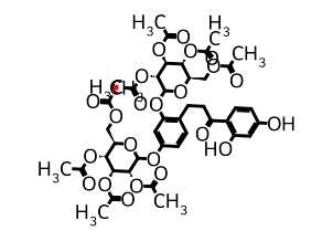 CC(=O)OC[C@H]1OC(Oc2ccc(CCC(=O)c3ccc(O)cc3O)c(OC3O[C@H](COC(C)=O)[C@@H](OC(C)=O)[C@H](OC(C)=O)[C@H]3OC(C)=O)c2)[C@H](OC(C)=O)[C@@H](OC(C)=O)[C@@H]1OC(C)=O